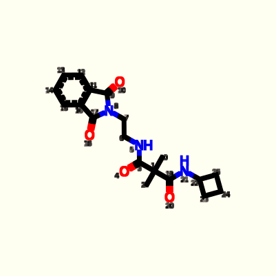 CC(C)(C(=O)NCCN1C(=O)c2ccccc2C1=O)C(=O)NC1CCC1